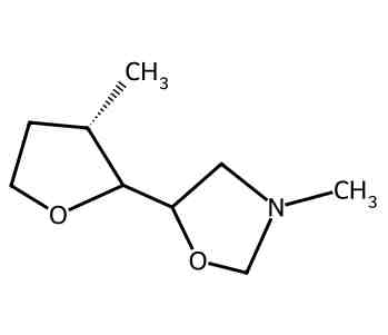 C[C@H]1CCOC1C1CN(C)CO1